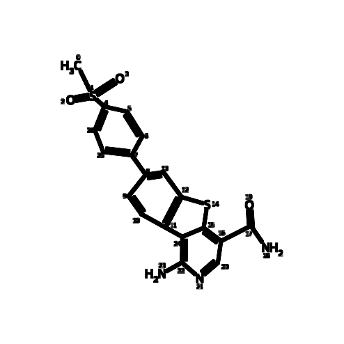 CS(=O)(=O)c1ccc(-c2ccc3c(c2)sc2c(C(N)=O)cnc(N)c23)cc1